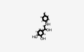 Cc1ccc(NCC(O)c2ccc(O)c(O)c2)cc1